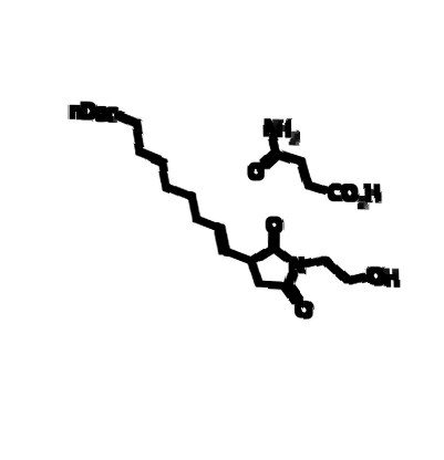 CCCCCCCCCCCCCCCCC=CC1CC(=O)N(CCO)C1=O.NC(=O)CCC(=O)O